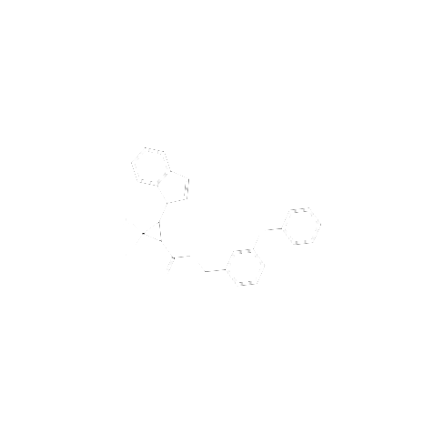 CC1(C)C(C(=O)OCc2cccc(Oc3ccccc3)c2)C1C1C=Cc2ccccc21